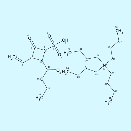 C=CC1C(=O)N(S(=O)(=O)O)C1C(=O)OCC.CCCC[N+](CCCC)(CCCC)CCCC